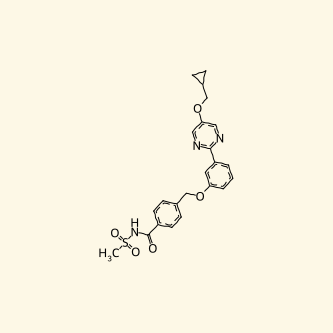 CS(=O)(=O)NC(=O)c1ccc(COc2cccc(-c3ncc(OCC4CC4)cn3)c2)cc1